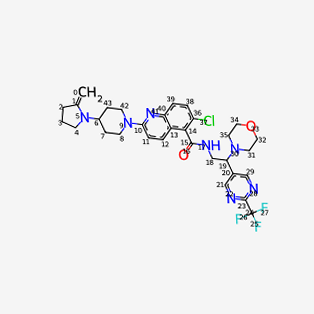 C=C1CCCN1C1CCN(c2ccc3c(C(=O)NCC(c4cnc(C(F)(F)F)nc4)N4CCOCC4)c(Cl)ccc3n2)CC1